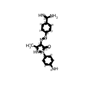 Cc1[nH]n(-c2ccc([NH])cc2)c(=O)c1N=Nc1ccc(C(=N)N)cc1